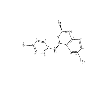 CC[C@@H]1C[C@H](Nc2ncc(Br)cn2)c2cc(C(F)(F)F)ccc2N1